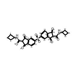 O=C(NC1CCC1)C1C(=O)c2ccc(S(=O)(=O)c3ccc4c(c3)C(=O)C(C(=O)NC3CCC3)C4=O)cc2C1=O